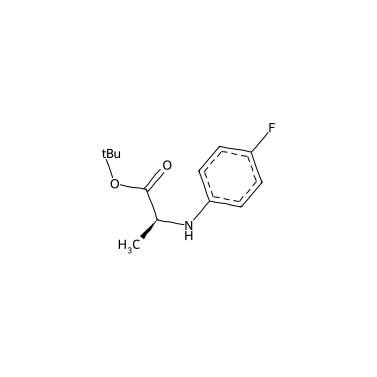 C[C@H](Nc1ccc(F)cc1)C(=O)OC(C)(C)C